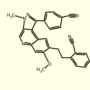 COc1cc2ncc3c(c(-c4ccc(C#N)cc4)nn3C)c2cc1CCc1ccccc1C#N